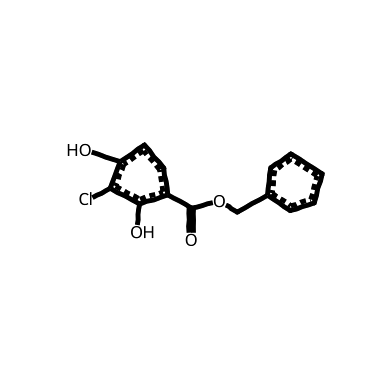 O=C(OCc1ccccc1)c1ccc(O)c(Cl)c1O